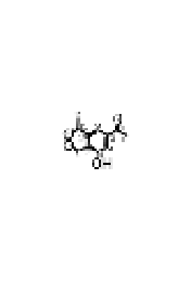 CC(=O)c1cc(O)c(C=O)c(C(C)=O)c1